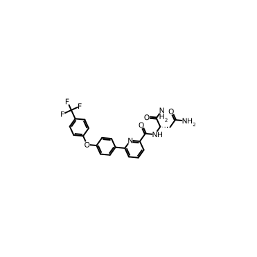 NC(=O)C[C@H](NC(=O)c1cccc(-c2ccc(Oc3ccc(C(F)(F)F)cc3)cc2)n1)C(N)=O